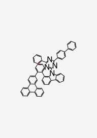 c1ccc(-c2ccc(-c3nc(-c4ccccc4)nc(-n4c5ccccc5c5cccc(-c6ccccc6-c6ccc7c8ccccc8c8ccccc8c7c6)c54)n3)cc2)cc1